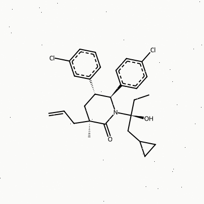 C=CC[C@@]1(C)C[C@H](c2cccc(Cl)c2)[C@@H](c2ccc(Cl)cc2)N([C@](O)(CC)CC2CC2)C1=O